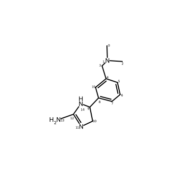 CN(C)Cc1cccc(C2CN=C(N)N2)c1